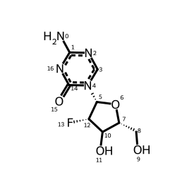 Nc1ncn([C@@H]2O[C@H](CO)C(O)[C@@H]2F)c(=O)n1